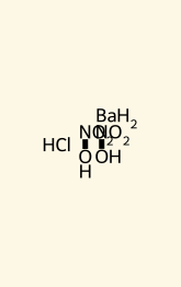 Cl.O=[N+]([O-])O.O=[N+]([O-])O.[BaH2]